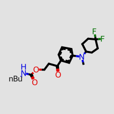 CCCCNC(=O)OCCC(=O)c1cccc(N(C)C2CCC(F)(F)CC2)c1